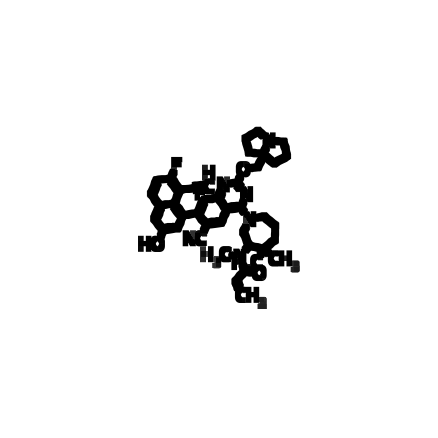 C#Cc1c(F)ccc2cc(O)cc(-c3c(C#N)cc4c(N5CCCC(C)(C)C(N(C)C(=O)C=C)C5)nc(OCC56CCCN5CCC6)nc4c3F)c12